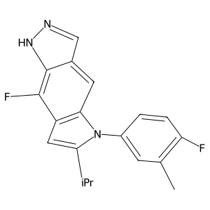 Cc1cc(-n2c(C(C)C)cc3c(F)c4[nH]ncc4cc32)ccc1F